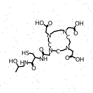 CC(O)CNC(=O)C(CS)NC(=O)CN1CCN(CC(=O)O)CCN(CC(=O)O)CCN(CC(=O)O)CC1